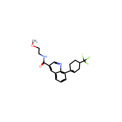 COCCNC(=O)c1cnc2c(C3=CCC(C(F)(F)F)CC3)cccc2c1